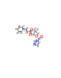 CC1(COC(=O)n2ccnc2)COC(/C=C/c2ccccc2)OC1